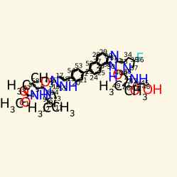 COC(=O)N[C@H](C(=O)N1C[Si](C)(C)C[C@H]1c1ncc(-c2ccc(-c3ccc4c(ccc5nc(C6C[C@@H](F)CN6C(=O)[C@@H](NC(=O)CO)C(C)C)[nH]c54)c3)cc2)[nH]1)C(C)C